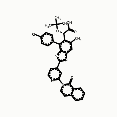 Cc1cc2nc(-c3ccnc(-n4ccc5ccccc5c4=O)c3)sc2c(-c2ccc(Cl)cc2)c1[C@H](OC(C)(C)C)C(=O)O